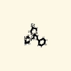 CCC1CSC(CCc2ccccc2)(Cn2ccnc2)SC1